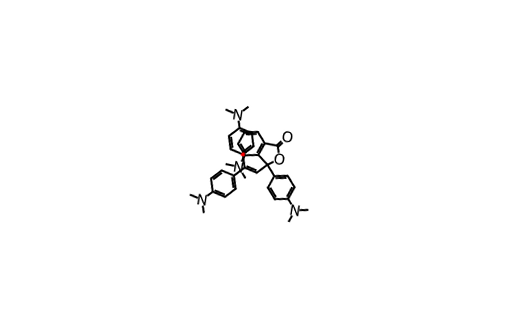 CN(C)c1ccc(C(=CC2(c3ccc(N(C)C)cc3)OC(=O)c3cccc(N(C)C)c32)c2ccc(N(C)C)cc2)cc1